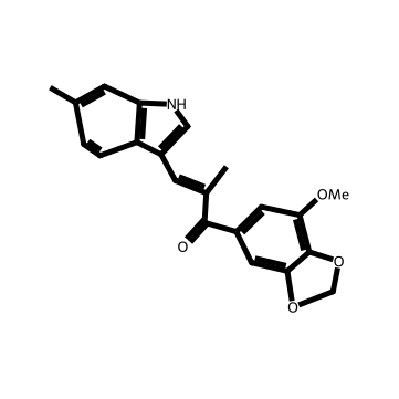 COc1cc(C(=O)/C(C)=C/c2c[nH]c3cc(C)ccc23)cc2c1OCO2